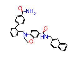 NC(=O)c1ccc(-c2ccccc2CN2CCOc3cc(C(=O)NCc4ccc5ccccc5c4)ccc32)cc1